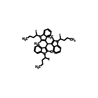 CCCC(I)n1c(C)c(C(c2c(C)n(C(I)CCC)c3ccccc23)c2c(C)n(C(I)CCC)c3ccccc23)c2ccccc21